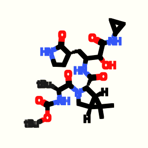 CC(C)(C)OC(=O)N[C@H](C(=O)N1C[C@@H]2[C@H]([C@H]1C(=O)NC(C[C@@H]1CCNC1=O)C(O)C(=O)NC1CC1)C2(C)C)C(C)(C)C